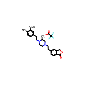 COc1cc(CCN2CCN(CCc3ccc4c(c3)COC4=O)CC2C(F)(F)F)ccc1C#N.O=C(O)C(F)(F)F